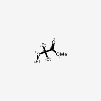 CCOC(CC)(CC)C(=O)OC